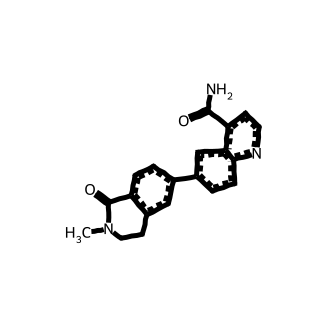 CN1CCc2cc(-c3ccc4nccc(C(N)=O)c4c3)ccc2C1=O